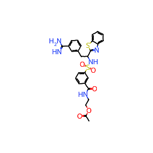 CC(=O)OCCNC(=O)c1cccc(S(=O)(=O)NC(Cc2cccc(C(=N)N)c2)c2nc3ccccc3s2)c1